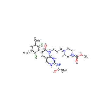 COC(=O)Nc1ncc2cc(-c3c(Cl)c(OC)cc(OC)c3Cl)c(=O)n(CCCN3CCN(C(=O)OC(C)(C)C)CC3)c2n1